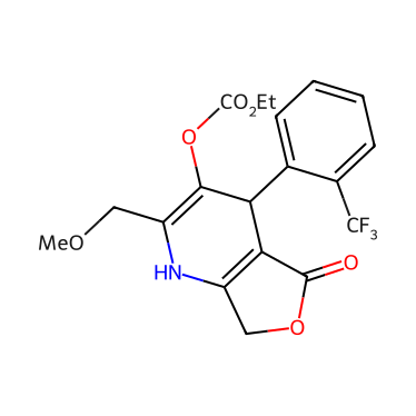 CCOC(=O)OC1=C(COC)NC2=C(C(=O)OC2)C1c1ccccc1C(F)(F)F